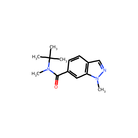 CN(C(=O)c1ccc2cnn(C)c2c1)C(C)(C)C